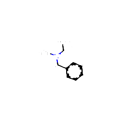 CCCN(CC(=O)OCC)Cc1ccccc1